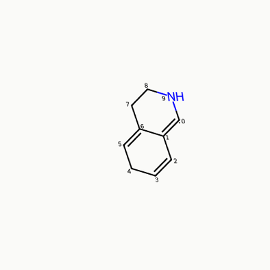 [C]1=C2C=CCC=C2CCN1